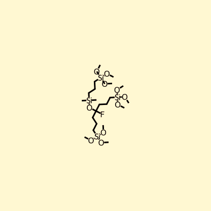 CO[Si](CCCC(F)(CCC[Si](OC)(OC)OC)O[Si](C)(C)CCC[Si](OC)(OC)OC)(OC)OC